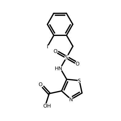 O=C(O)c1ncsc1NS(=O)(=O)Cc1ccccc1I